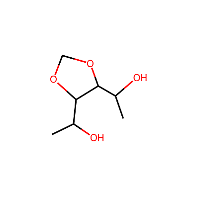 CC(O)C1OCOC1C(C)O